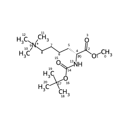 COC(=O)[C@@H](CCCC[N+](C)(C)C)NC(=O)OC(C)(C)C